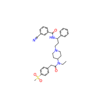 CCN(C(=O)Cc1ccc(S(C)(=O)=O)cc1)C1CCN(CCC(NC(=O)c2cccc(C#N)c2)c2ccccc2)CC1